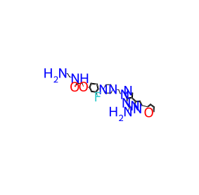 NCCNC(=O)COc1ccc(N2CCN(CCn3ncc4c3nc(N)n3nc(-c5ccco5)cc43)CC2)c(F)c1